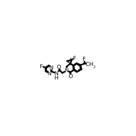 C=C(F)c1ccc2c(c1)[C@]1(C[C@H]1F)CN(CC(=O)Nc1ncc(F)cn1)C2=O